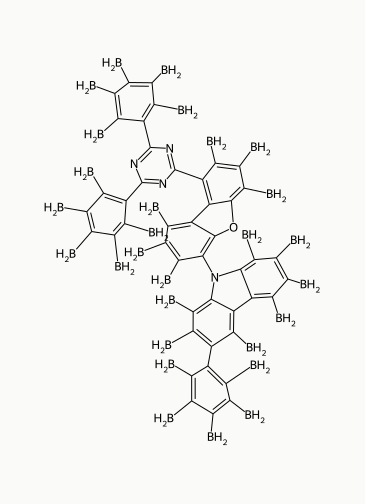 Bc1c(B)c(B)c(-c2nc(-c3c(B)c(B)c(B)c(B)c3B)nc(-c3c(B)c(B)c(B)c4oc5c(-n6c7c(B)c(B)c(B)c(B)c7c7c(B)c(-c8c(B)c(B)c(B)c(B)c8B)c(B)c(B)c76)c(B)c(B)c(B)c5c34)n2)c(B)c1B